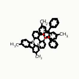 Cc1ccc2c(c1)c1cc(C)ccc1n2-c1cccnc1-c1c(-c2nc(-c3ccccc3)nc(-c3ccccc3)n2)cccc1-n1c2ccc(C)cc2c2cc(C)ccc21